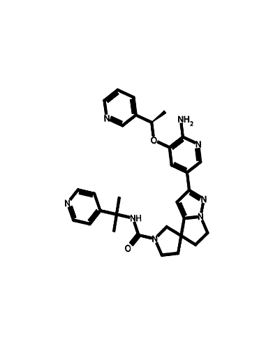 C[C@@H](Oc1cc(-c2cc3n(n2)CCC32CCN(C(=O)NC(C)(C)c3ccncc3)C2)cnc1N)c1cccnc1